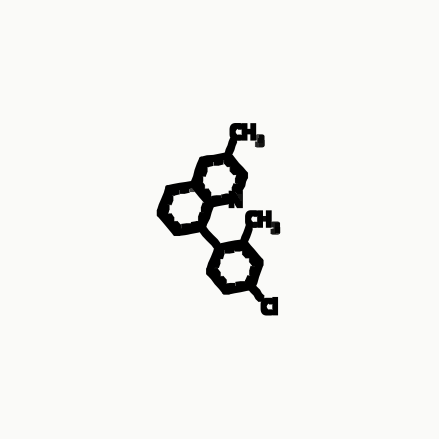 Cc1cnc2c(-c3ccc(Cl)cc3C)cccc2c1